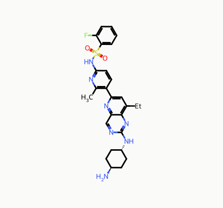 CCc1cc(-c2ccc(NS(=O)(=O)c3ccccc3F)nc2C)nc2cnc(N[C@H]3CC[C@H](N)CC3)nc12